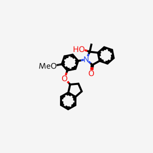 COc1ccc(N2C(=O)c3ccccc3C2(C)O)cc1OC1CCc2ccccc21